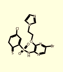 O=S(=O)(Nc1ncc(Br)nc1OCCn1ccnc1)C1=CC(Cl)=CCC1=S